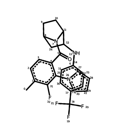 Cc1ccc(C(=O)N2C3CCC2C(Nc2ccc(C(F)(F)F)cn2)C3)c(-n2nccn2)c1F